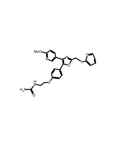 COc1ccc(-c2nc(CSc3ccccn3)oc2-c2ccc(OCCNC(N)=O)cc2)cn1